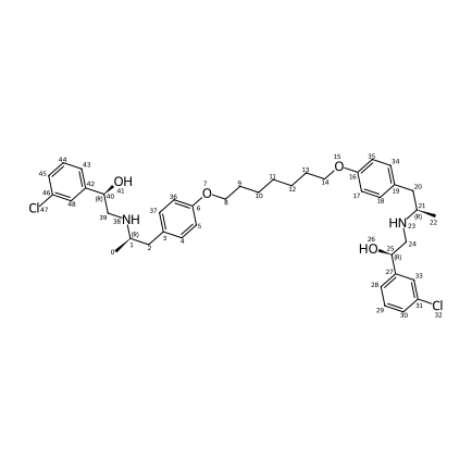 C[C@H](Cc1ccc(OCCCCCCCOc2ccc(C[C@@H](C)NC[C@H](O)c3cccc(Cl)c3)cc2)cc1)NC[C@H](O)c1cccc(Cl)c1